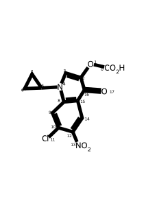 O=C(O)Oc1cn(C2CC2)c2cc(Cl)c([N+](=O)[O-])cc2c1=O